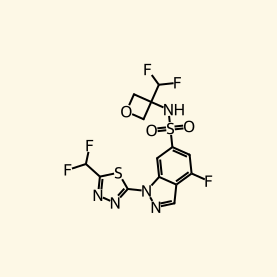 O=S(=O)(NC1(C(F)F)COC1)c1cc(F)c2cnn(-c3nnc(C(F)F)s3)c2c1